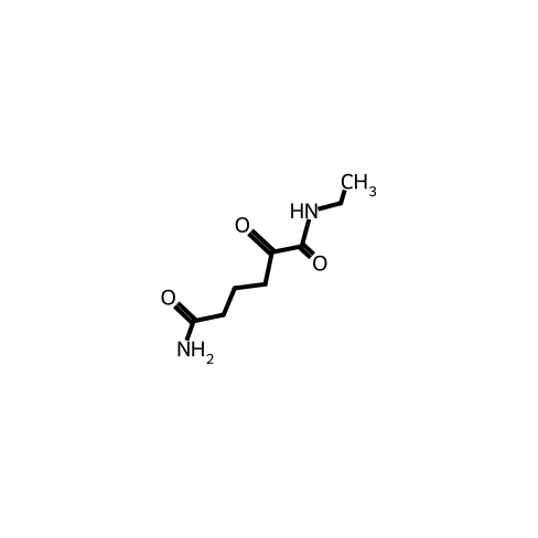 CCNC(=O)C(=O)CCCC(N)=O